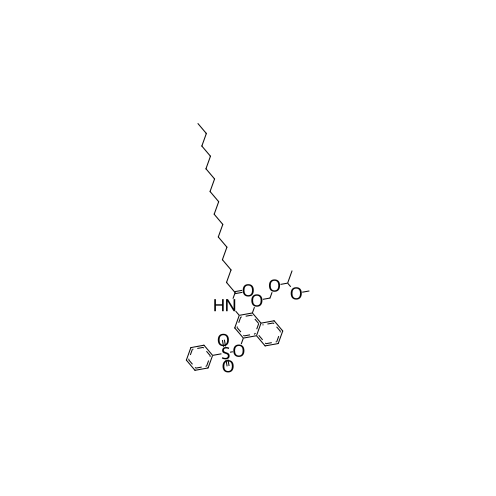 CCCCCCCCCCCCCCCC(=O)Nc1cc(OS(=O)(=O)c2ccccc2)c2ccccc2c1OCOC(C)OC